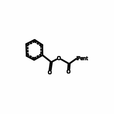 CCCC(C)C(=O)OC(=O)c1ccccc1